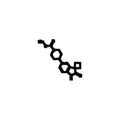 CC(C)(C)OC(=O)N1CCC(c2ccc3c(c2)C2(CCC2)C(=O)N3)CC1